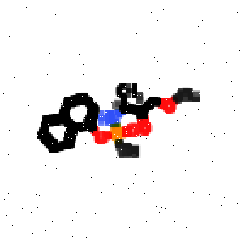 C[C@H](NP(=O)(Oc1cccc2ccccc12)C(C)(C)C)C(=O)COC(C)(C)C